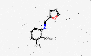 COc1c(C)cccc1/N=C/c1ccco1